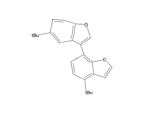 CC(C)(C)c1ccc2occ(-c3ccc(C(C)(C)C)c4ccoc34)c2c1